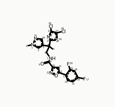 Cn1cc(C(C)(CNC(=O)c2cc(-c3ccc(F)cc3F)on2)c2nc(Cl)c(Cl)s2)cn1